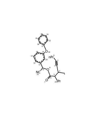 CCCC#CC(C)C(C(=O)OC(C#N)c1cccc(Oc2ccccc2)c1)C(C)C